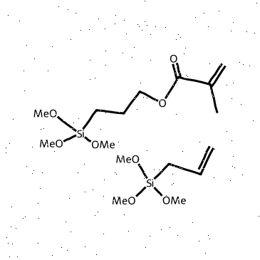 C=C(C)C(=O)OCCC[Si](OC)(OC)OC.C=CC[Si](OC)(OC)OC